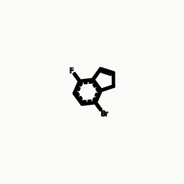 Fc1ccc(Br)c2c1C=CC2